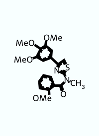 COc1ccccc1C(=O)N(C)c1nc(-c2cc(OC)c(OC)c(OC)c2)cs1